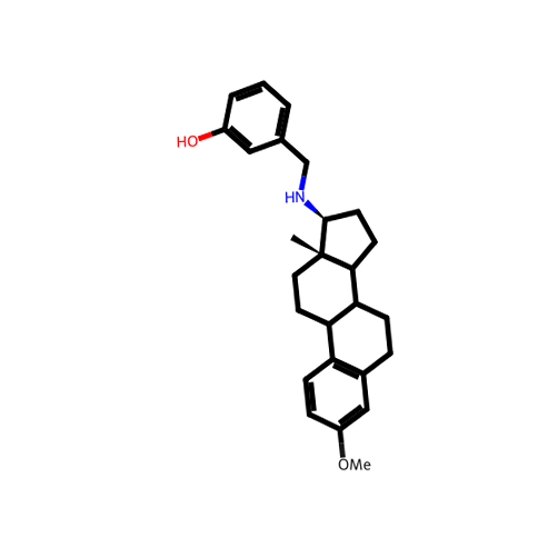 COc1ccc2c(c1)CCC1C2CC[C@@]2(C)C1CC[C@@H]2NCc1cccc(O)c1